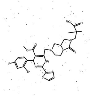 COC(=O)C1=C(CN2CCN3C(=S)N(CC(C)(C)C(=O)O)CC3C2)NC(c2nccs2)=NC1c1ccc(F)cc1Br